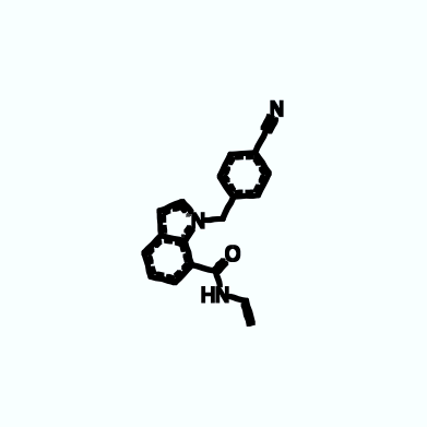 C=CNC(=O)c1cccc2ccn(Cc3ccc(C#N)cc3)c12